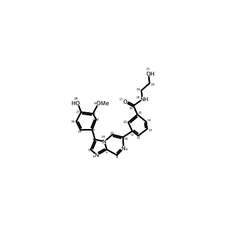 COc1cc(-c2cnc3cnc(-c4cccc(C(=O)NCCO)c4)cn23)ccc1O